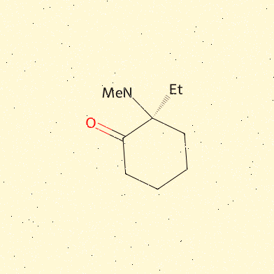 CC[C@]1(NC)CCCCC1=O